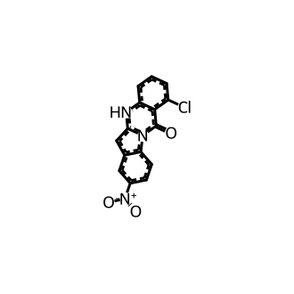 O=c1c2c(Cl)cccc2[nH]c2cc3cc([N+](=O)[O-])ccc3n12